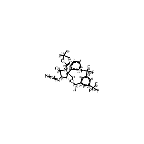 C[C@@H](OC[C@@]1(c2ccccc2)CC(N=[N+]=[N-])C(=O)N1C(=O)OC(C)(C)C)c1cc(C(F)(F)F)cc(C(F)(F)F)c1